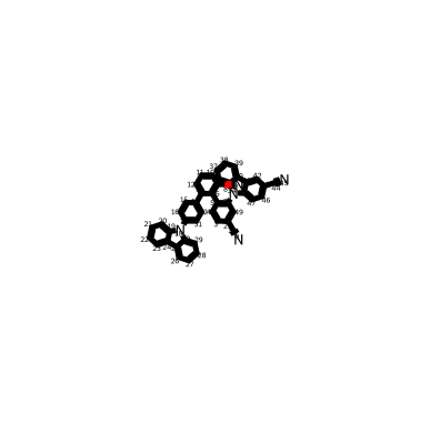 N#Cc1ccc(-c2c(C#N)cccc2-c2ccc(-n3c4ccccc4c4ccccc43)cc2)c(-n2c3ccccc3c3cc(C#N)ccc32)c1